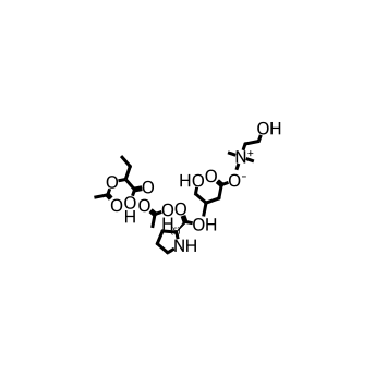 CC(=O)O.CC(CO)CC(=O)[O-].CCC(OC(C)=O)C(=O)O.C[N+](C)(C)CCO.O=C(O)[C@@H]1CCCN1